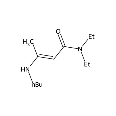 CCCCNC(C)=CC(=O)N(CC)CC